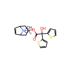 C[N+]1(C)C2C=CC1CC(OC(=O)C(O)(c1cccs1)c1cccs1)C2